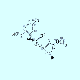 O=C(Nc1cc(Br)cc(OC(F)(F)F)c1)Nc1cc(Cl)ccc1CO